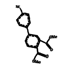 COC(=O)c1ccc(-c2ccc(C#N)cc2)cc1C(=O)OC